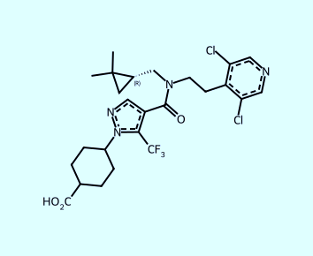 CC1(C)C[C@H]1CN(CCc1c(Cl)cncc1Cl)C(=O)c1cnn(C2CCC(C(=O)O)CC2)c1C(F)(F)F